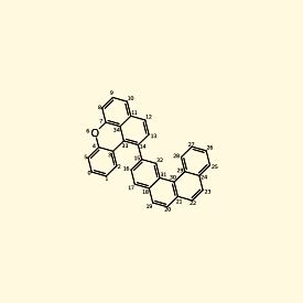 c1ccc2c(c1)Oc1cccc3ccc(-c4ccc5ccc6ccc7ccccc7c6c5c4)c-2c13